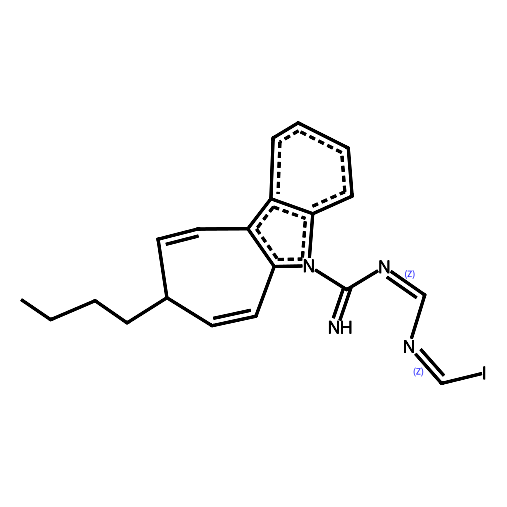 CCCCC1C=Cc2c(n(C(=N)/N=C\N=C/I)c3ccccc23)C=C1